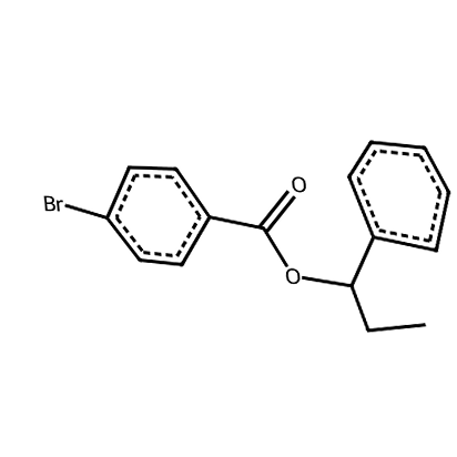 CCC(OC(=O)c1ccc(Br)cc1)c1ccccc1